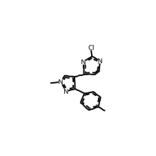 Cc1ccc(-c2nn(C)cc2-c2ccnc(Cl)n2)cc1